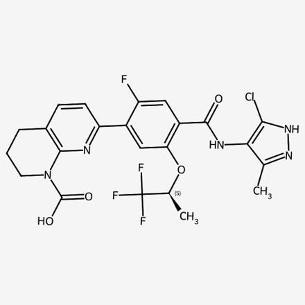 Cc1n[nH]c(Cl)c1NC(=O)c1cc(F)c(-c2ccc3c(n2)N(C(=O)O)CCC3)cc1O[C@@H](C)C(F)(F)F